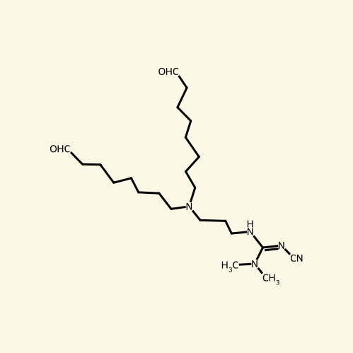 CN(C)/C(=N\C#N)NCCCN(CCCCCCCC=O)CCCCCCCC=O